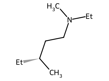 CC[C@@H](C)CCN(C)CC